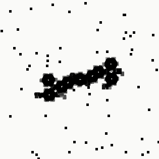 Cc1ccc(C(C)C)cc1N(c1ccccc1)c1ccc2cc3c(cc2c1)oc1cc2c(cc13)oc1cc3cc(N(c4ccccc4)c4cc(C(C)C)ccc4C)ccc3cc12